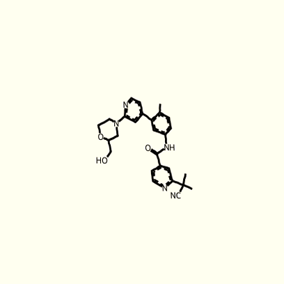 Cc1ccc(NC(=O)c2ccnc(C(C)(C)C#N)c2)cc1-c1ccnc(N2CCOC(CO)C2)c1